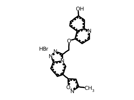 Br.Cc1cc(-c2ccc3nnc(COc4ccnc5cc(O)ccc45)n3c2)on1